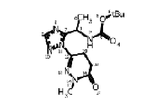 CC(NC(=O)OC(C)(C)C)c1ncnn1C1=NN(C)C(=O)CC1